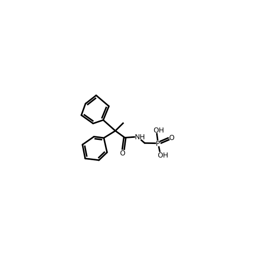 CC(C(=O)NCP(=O)(O)O)(c1ccccc1)c1ccccc1